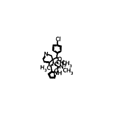 CC1=CC=NCC1(C(=O)c1ccc(Cl)cc1)[N+](C)(Cc1ccc[nH]1)C(=O)N(C)C